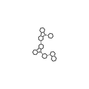 c1ccc(-n2c3ccccc3c3ccc(-c4ccc5c(c4)c4ccccc4n5-c4cccc(-c5cccc6ccccc56)c4)cc32)cc1